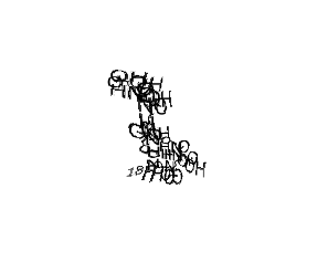 O=C(O)CCC(NC(=O)NC(CCCCNC(=O)C(Cc1ccc2ccccc2c1)NC(=O)c1ccc(CNC(=O)C(CCC(=O)O)NC(=O)CCC(NC(=O)c2ccnc([18F])c2)C(=O)O)cc1)C(=O)O)C(=O)O